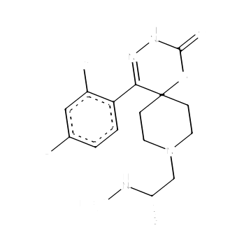 C[C@@H](CN1CCC2(CC1)OC(=O)NN=C2c1ccc(F)cc1Br)NC(=O)O